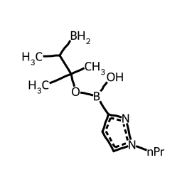 BC(C)C(C)(C)OB(O)c1ccn(CCC)n1